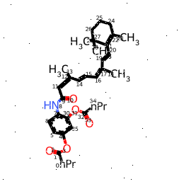 CCCC(=O)Oc1ccc(NC(=O)C=C(C)C=CC=C(C)C=CC2=C(C)CCCC2(C)C)c(OC(=O)CCC)c1